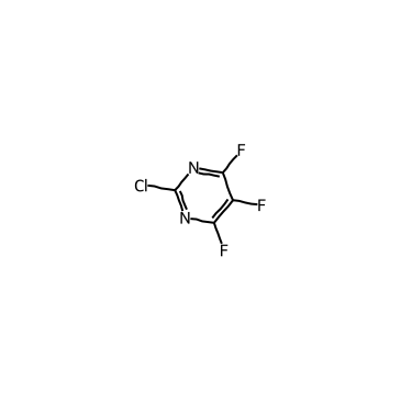 Fc1nc(Cl)nc(F)c1F